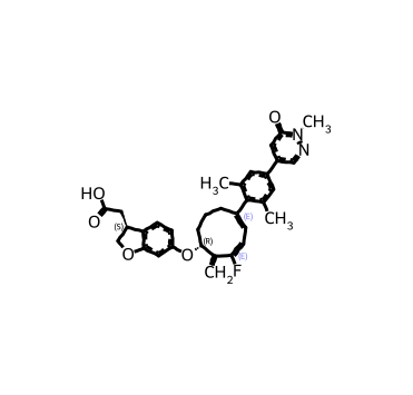 C=C1/C(F)=C\C=C(\c2c(C)cc(-c3cnn(C)c(=O)c3)cc2C)CCC[C@H]1Oc1ccc2c(c1)OC[C@H]2CC(=O)O